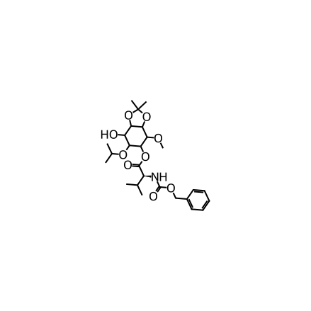 COC1C(OC(=O)[C@@H](NC(=O)OCc2ccccc2)C(C)C)C(OC(C)C)C(O)C2OC(C)(C)OC21